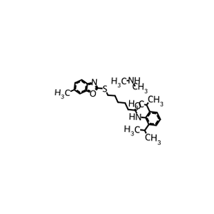 CNC.Cc1ccc2nc(SCCCCCC(=O)Nc3c(C(C)C)cccc3C(C)C)oc2c1